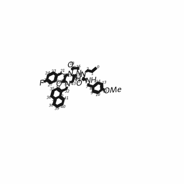 C=CCN(C(=O)NCc1ccc(OC)cc1)N1CC(=O)N2[C@@H](Cc3ccc(F)cc3)C(=O)N(Cc3cccc4ccccc34)C[C@@H]21